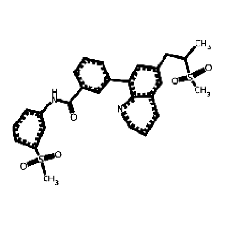 CC(Cc1cc(-c2cccc(C(=O)Nc3cccc(S(C)(=O)=O)c3)c2)c2ncccc2c1)S(C)(=O)=O